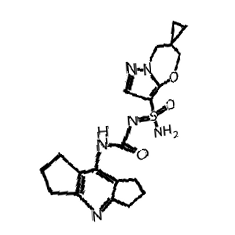 NS(=O)(=NC(=O)Nc1c2c(nc3c1CCC3)CCC2)c1cnn2c1OCC1(CC1)C2